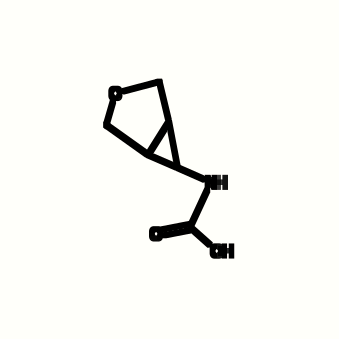 O=C(O)NC1C2COCC21